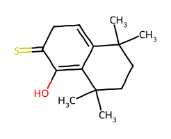 CC1(C)CCC(C)(C)C2=C(O)C(=S)CC=C21